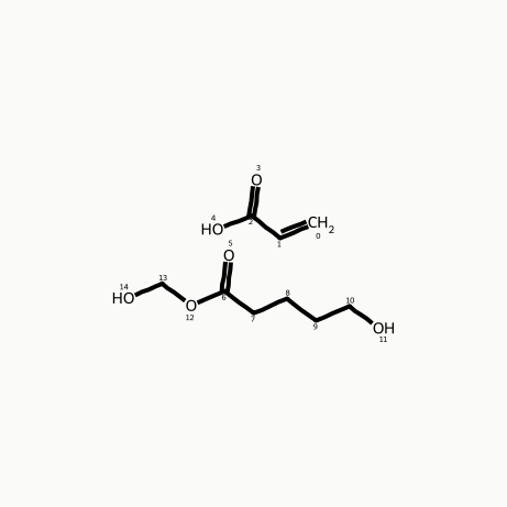 C=CC(=O)O.O=C(CCCCO)OCO